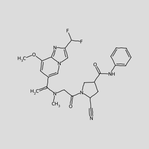 C=C(c1cc(OC)c2nc(C(F)F)cn2c1)N(C)CC(=O)N1CC(C(=O)Nc2ccccc2)CC1C#N